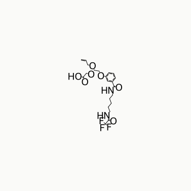 C=CCOC(COc1cccc(C(=O)NCCCCCNC(=O)C(F)(F)F)c1)OCC(=O)O